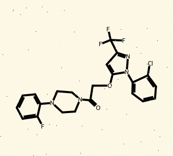 O=C(COc1cc(C(F)(F)F)nn1-c1ccccc1Cl)N1CCN(c2ccccc2F)CC1